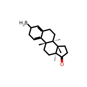 BC1C=C2CC[C@@]3(C)[C@]4(C)CCC(=O)[C@@]4(C)CC[C@]3(C)C2=CC1